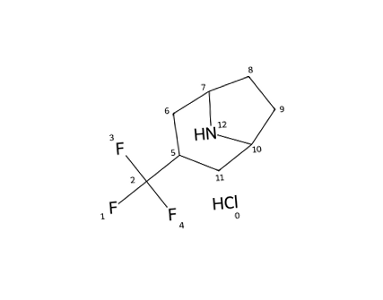 Cl.FC(F)(F)C1CC2CCC(C1)N2